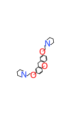 c1cc2c(cc1OCCN1CCCCC1)Cc1cc(OCCN3CCCCC3)ccc1O2